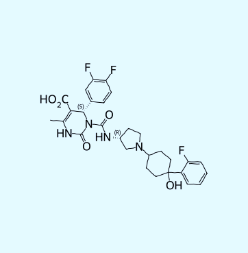 CC1=C(C(=O)O)[C@H](c2ccc(F)c(F)c2)N(C(=O)N[C@@H]2CCN(C3CCC(O)(c4ccccc4F)CC3)C2)C(=O)N1